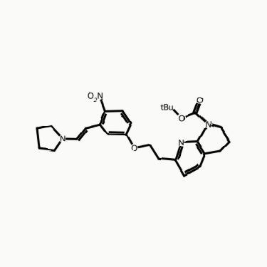 CC(C)(C)OC(=O)N1CCCc2ccc(CCOc3ccc([N+](=O)[O-])c(C=CN4CCCC4)c3)nc21